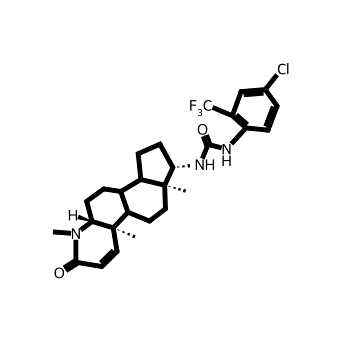 CN1C(=O)C=C[C@]2(C)C3CC[C@@]4(C)C(CC[C@@H]4NC(=O)Nc4ccc(Cl)cc4C(F)(F)F)C3CC[C@@H]12